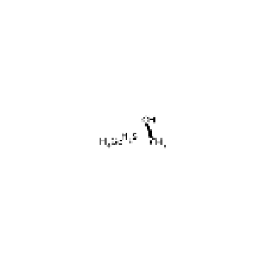 CO.S.[GeH4]